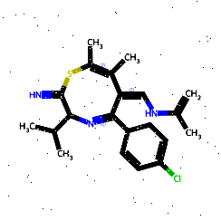 C=C(C)N/C=C1C(\C2C=CC(Cl)=CC2)=N/C(C(C)C)C(=N)S/C(C)=C\1C